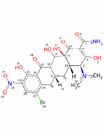 CN(C)[C@@H]1C(O)=C(C(N)=O)C(=O)[C@@]2(O)C(O)C3C(=O)c4c(O)c([N+](=O)[O-])cc(Br)c4C[C@H]3C[C@@H]12